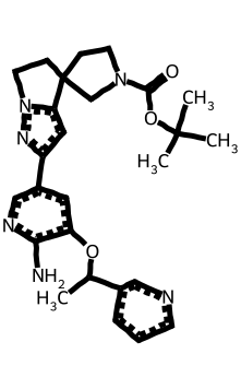 CC(Oc1cc(-c2cc3n(n2)CCC32CCN(C(=O)OC(C)(C)C)C2)cnc1N)c1cccnc1